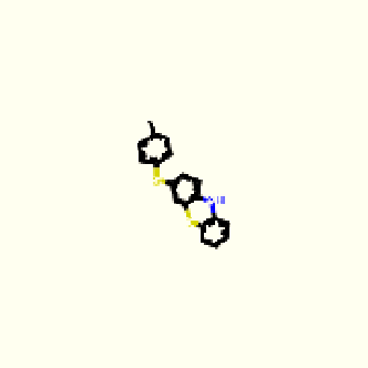 Cc1ccc(Sc2ccc3c(c2)Sc2ccccc2N3)cc1